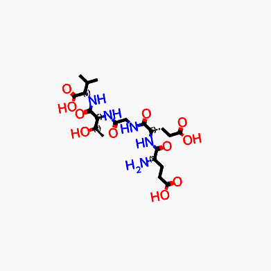 CC(C)[C@H](NC(=O)[C@@H](NC(=O)CNC(=O)[C@H](CCC(=O)O)NC(=O)[C@@H](N)CCC(=O)O)[C@@H](C)O)C(=O)O